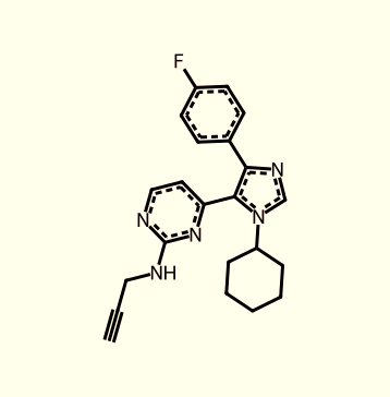 C#CCNc1nccc(-c2c(-c3ccc(F)cc3)ncn2C2CCCCC2)n1